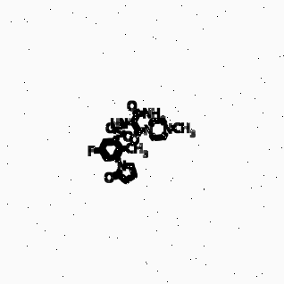 Cc1c(N2CCCC2=O)cc(F)cc1S(=O)(=O)N[C@@H](C(N)=O)C(=O)N1CCN(C)CC1